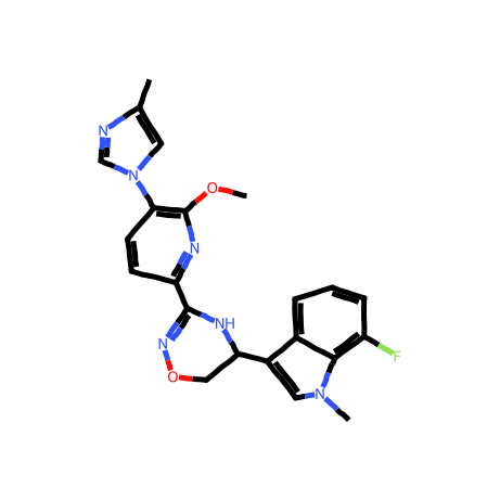 COc1nc(C2=NOCC(c3cn(C)c4c(F)cccc34)N2)ccc1-n1cnc(C)c1